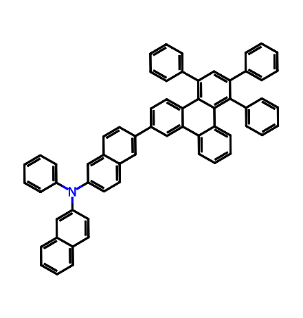 c1ccc(-c2cc(-c3ccccc3)c3c4ccc(-c5ccc6cc(N(c7ccccc7)c7ccc8ccccc8c7)ccc6c5)cc4c4ccccc4c3c2-c2ccccc2)cc1